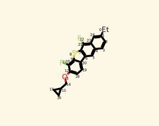 CCc1ccc2cc3c(sc4c(F)c(OCC5CC5)ccc43)c(F)c2c1